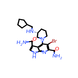 NC(=O)c1nc2[nH]cc(C(N)=O)c2c(N2CCC[C@@H](NCC3CCCC3)C2)c1Br